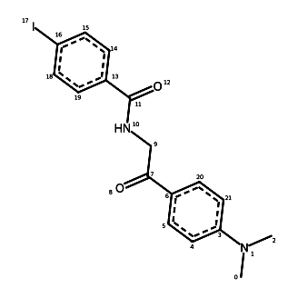 CN(C)c1ccc(C(=O)CNC(=O)c2ccc(I)cc2)cc1